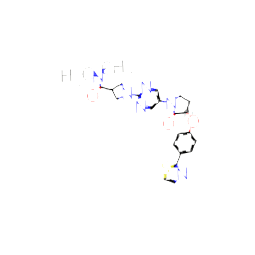 CN(C)C(=O)C1CN(c2ncc(N3CC[C@@H](Oc4ccc(-c5nccs5)cc4)C3=O)cn2)C1